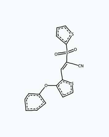 N#C/C(=C\c1sccc1Oc1ccccc1)S(=O)(=O)c1cccs1